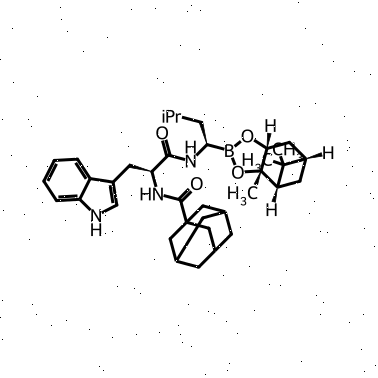 CC(C)C[C@H](NC(=O)[C@H](Cc1c[nH]c2ccccc12)NC(=O)C12CC3CC(CC(C3)C1)C2)B1O[C@@H]2C[C@@H]3C[C@@H](C3(C)C)[C@]2(C)O1